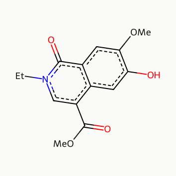 CCn1cc(C(=O)OC)c2cc(O)c(OC)cc2c1=O